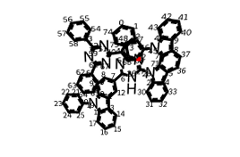 c1ccc(C2=NC(c3ccc4c(c3)c3ccccc3n4-c3ccccc3)NC(n3c4ccccc4c4ccc5c6ccccc6n(-c6ccc(-c7nc(-c8ccccc8)nc(-c8ccccc8)n7)cc6)c5c43)=N2)cc1